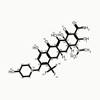 CN(C)[C@@H]1C(O)=C(C(N)=O)C(=O)[C@@]2(O)C(O)=C3C(=O)c4c(O)cc(CN5CCC(O)CC5)c(C(F)(F)F)c4C[C@H]3C[C@@H]12